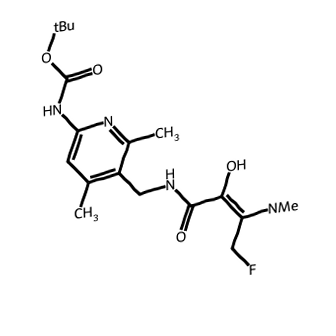 CN/C(CF)=C(\O)C(=O)NCc1c(C)cc(NC(=O)OC(C)(C)C)nc1C